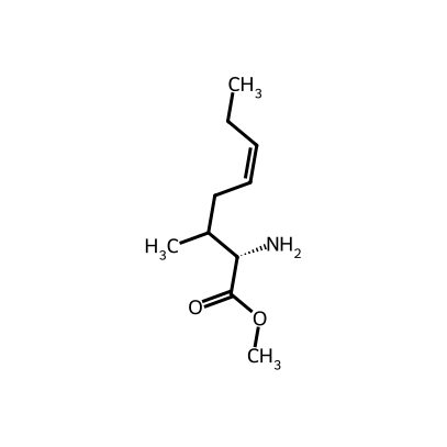 CC/C=C\CC(C)[C@H](N)C(=O)OC